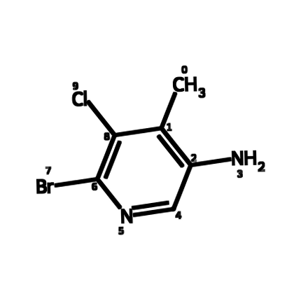 Cc1c(N)cnc(Br)c1Cl